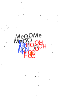 COc1ccc(CNc2ncnc3nc[nH]c23)c(OC)c1OC.O=P(O)(O)OC[C@H]1OC(O)[C@H](O)[C@@H]1O